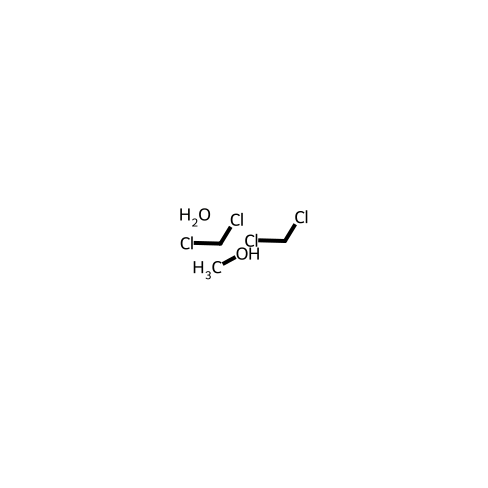 CO.ClCCl.ClCCl.O